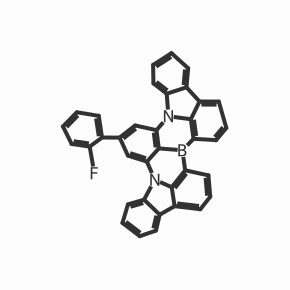 Fc1ccccc1-c1cc2c3c(c1)-n1c4ccccc4c4cccc(c41)B3c1cccc3c4ccccc4n-2c13